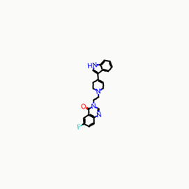 O=c1c2cc(F)ccc2ncn1CCN1CC=C(c2c[nH]c3ccccc23)CC1